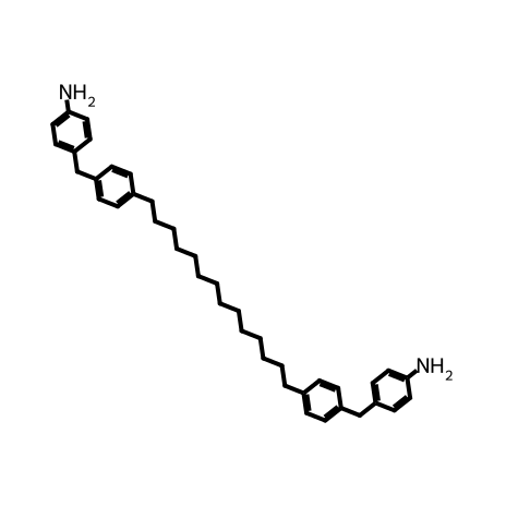 Nc1ccc(Cc2ccc(CCCCCCCCCCCCCCc3ccc(Cc4ccc(N)cc4)cc3)cc2)cc1